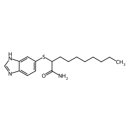 CCCCCCCCC(Sc1ccc2nc[nH]c2c1)C(N)=O